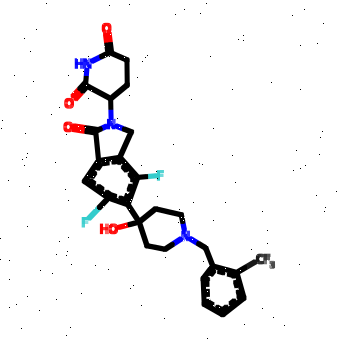 O=C1CCC(N2Cc3c(cc(F)c(C4(O)CCN(Cc5ccccc5C(F)(F)F)CC4)c3F)C2=O)C(=O)N1